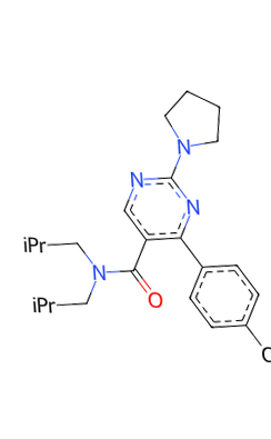 CC(C)CN(CC(C)C)C(=O)c1cnc(N2CCCC2)nc1-c1ccc(C#N)cc1